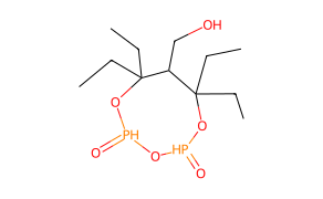 CCC1(CC)O[PH](=O)O[PH](=O)OC(CC)(CC)C1CO